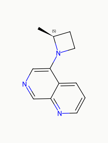 C[C@H]1CCN1c1cncc2ncccc12